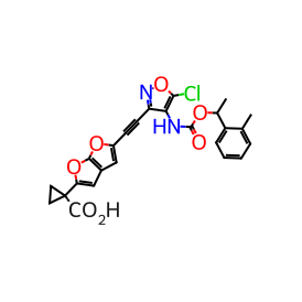 Cc1ccccc1C(C)OC(=O)Nc1c(C#Cc2cc3cc(C4(C(=O)O)CC4)oc3o2)noc1Cl